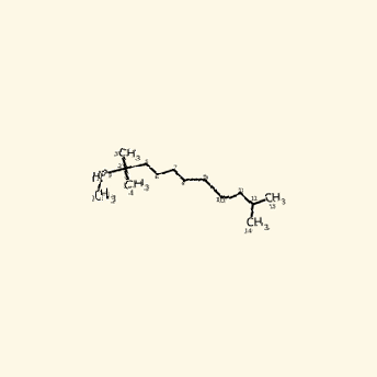 CPC(C)(C)CCCCCCCC(C)C